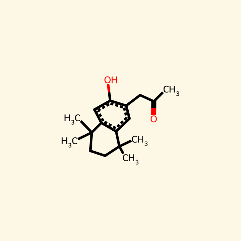 CC(=O)Cc1cc2c(cc1O)C(C)(C)CCC2(C)C